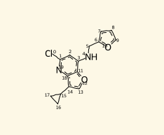 Clc1cc(NCc2ccco2)c2occ(C3CC3)c2n1